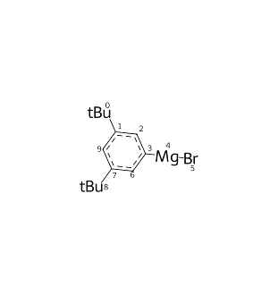 CC(C)(C)c1c[c]([Mg][Br])cc(C(C)(C)C)c1